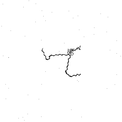 CCCCC/C=C\C/C=C\CCCCCCCC1OP(NCCN(C)C)OC1CCCCCCC/C=C\C/C=C\CCCCC